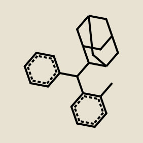 Cc1ccccc1C(c1ccccc1)C1C2CC3CC(C2)CC1C3